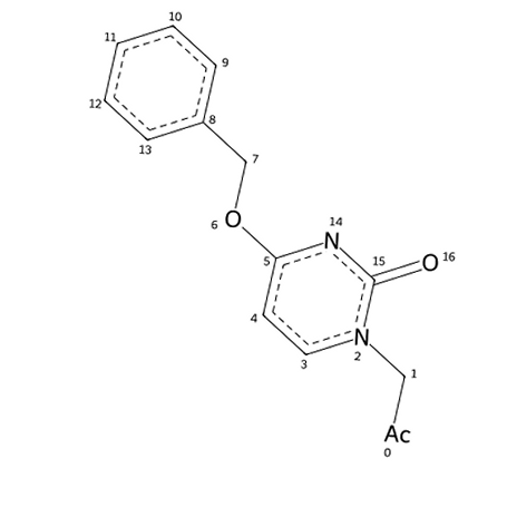 CC(=O)Cn1ccc(OCc2ccccc2)nc1=O